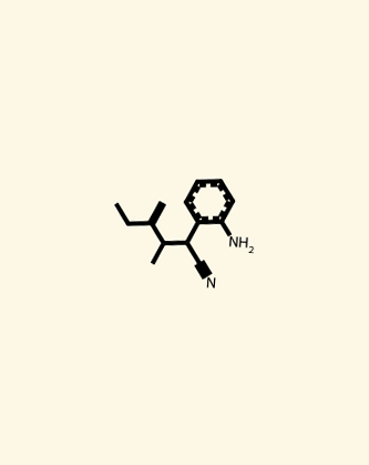 C=C(CC)C(C)C(C#N)c1ccccc1N